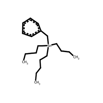 CCCC[CH2][Sn]([CH2]CCC)([CH2]CCC)[CH2]c1ccccc1